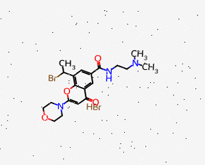 Br.CC(Br)c1cc(C(=O)NCCN(C)C)cc2c(=O)cc(N3CCOCC3)oc12